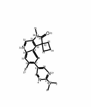 CN(C)c1ncc(-c2cc3c4c(cnc3cc2F)N(C)C(=O)C42CCC2)cn1